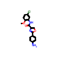 COc1ccc(Cl)cc1NC(=O)c1coc(-c2ccc(N)cc2)n1